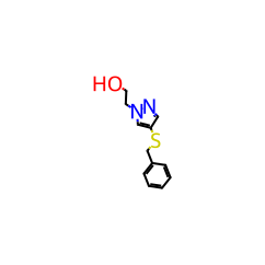 OCCn1cc(SCc2ccccc2)cn1